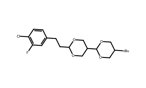 CCCCC1COC(C2COC(CCc3ccc(Cl)c(F)c3)OC2)OC1